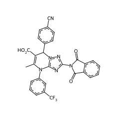 CC1=C(C(=O)O)C(c2ccc(C#N)cc2)n2nc(N3C(=O)c4ccccc4C3=O)nc2N1c1cccc(C(F)(F)F)c1